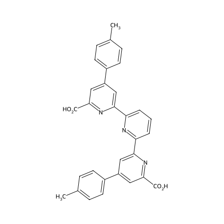 Cc1ccc(-c2cc(C(=O)O)nc(-c3cccc(-c4cc(-c5ccc(C)cc5)cc(C(=O)O)n4)n3)c2)cc1